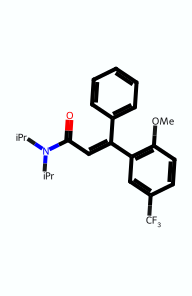 COc1ccc(C(F)(F)F)cc1/C(=C/C(=O)N(C(C)C)C(C)C)c1ccccc1